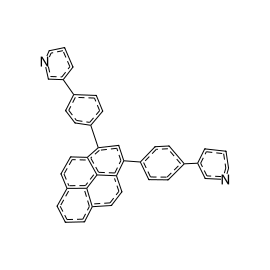 c1cncc(-c2ccc(-c3cc(-c4ccc(-c5cccnc5)cc4)c4ccc5cccc6ccc3c4c65)cc2)c1